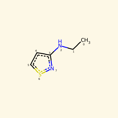 CCNc1ccsn1